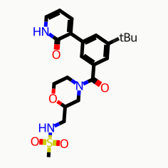 CC(C)(C)c1cc(C(=O)N2CCOC(CNS(C)(=O)=O)C2)cc(-c2ccc[nH]c2=O)c1